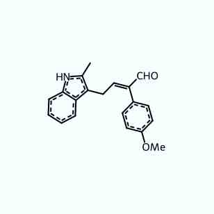 COc1ccc(C(C=O)=CCc2c(C)[nH]c3ccccc23)cc1